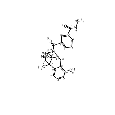 CNC(=O)c1cccc(C(=O)N2CCC3(C)c4cccc(O)c4CC2C3(C)C)c1